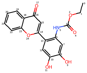 CCOC(=O)Nc1cc(O)c(O)cc1-c1cc(=O)c2ccccc2o1